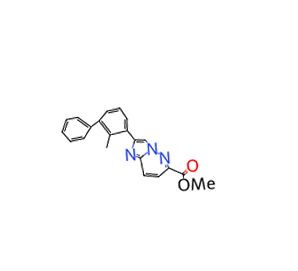 COC(=O)c1ccc2nc(-c3cccc(-c4ccccc4)c3C)cn2n1